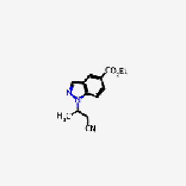 CCOC(=O)c1ccc2c(cnn2[C@H](C)CC#N)c1